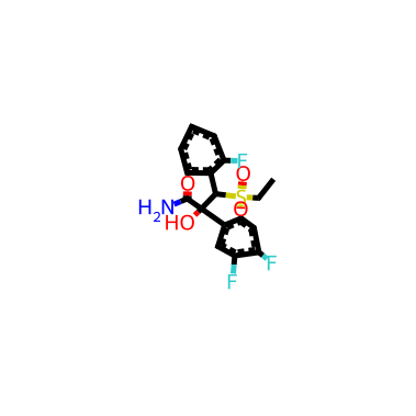 CCS(=O)(=O)C(c1ccccc1F)C(O)(C(N)=O)c1ccc(F)c(F)c1